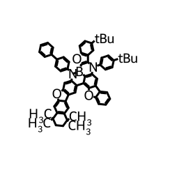 CC(C)(C)c1ccc(N2c3cc4c(oc5ccccc54)c4c3B(c3oc5ccc(C(C)(C)C)cc5c32)N(c2ccc(-c3ccccc3)cc2)c2cc3oc5cc6c(cc5c3cc2-4)C(C)(C)CCC6(C)C)cc1